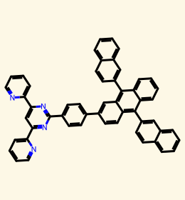 c1ccc(-c2cc(-c3ccccn3)nc(-c3ccc(-c4ccc5c(-c6ccc7ccccc7c6)c6ccccc6c(-c6ccc7ccccc7c6)c5c4)cc3)n2)nc1